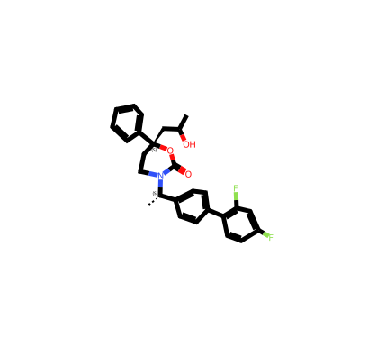 CC(O)C[C@]1(c2ccccc2)CCN([C@@H](C)c2ccc(-c3ccc(F)cc3F)cc2)C(=O)O1